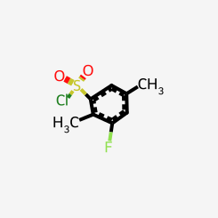 Cc1cc(F)c(C)c(S(=O)(=O)Cl)c1